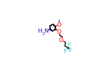 Nc1ccc(OI)c(OCCOCCC(F)(F)F)c1